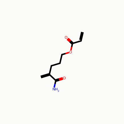 C=CC(=O)OCCCC(=C)C(N)=O